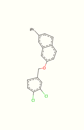 CC(C)c1ccc2ccc(OCc3ccc(Cl)c(Cl)c3)cc2c1